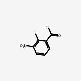 O=C(Cl)c1cccc([N+](=O)[O-])c1I